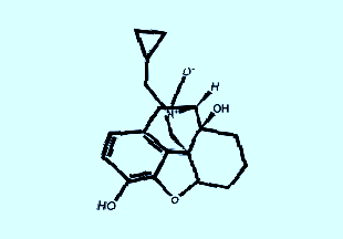 [O-][N+]1(CC2CC2)CC[C@]23c4c5ccc(O)c4OC2CCC[C@@]3(O)[C@H]1C5